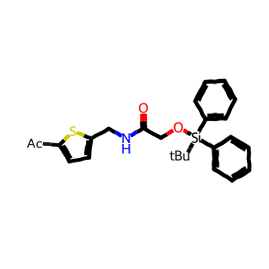 CC(=O)c1ccc(CNC(=O)CO[Si](c2ccccc2)(c2ccccc2)C(C)(C)C)s1